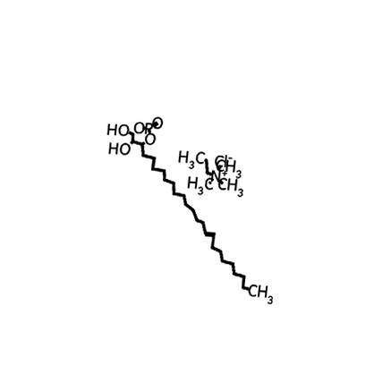 CCCCCCCCC=CCCCCCCCCCCCCC(OP(=O)=O)C(O)CO.CCC[N+](C)(C)C.[Cl-]